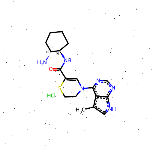 Cc1c[nH]c2ncnc(N3C=C(C(=O)N[C@@H]4CCCC[C@H]4N)SCC3)c12.Cl